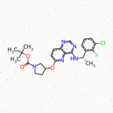 C[C@H](Nc1ncnc2ccc(O[C@H]3CCN(C(=O)OC(C)(C)C)C3)nc12)c1cccc(Cl)c1F